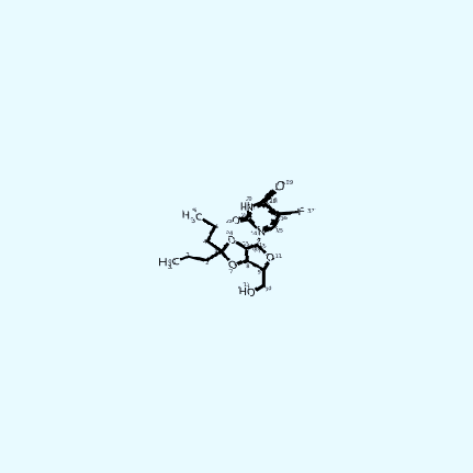 CCCC1(CCC)OC2C(CO)O[C@@H](n3cc(F)c(=O)[nH]c3=O)C2O1